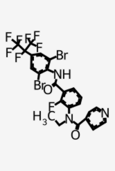 CCN(C(=O)c1ccncc1)c1cccc(C(=O)Nc2c(Br)cc(C(F)(C(F)(F)F)C(F)(F)F)cc2Br)c1F